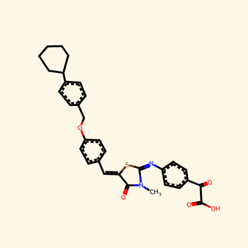 CN1C(=O)/C(=C/c2ccc(OCc3ccc(C4CCCCC4)cc3)cc2)S/C1=N/c1ccc(C(=O)C(=O)O)cc1